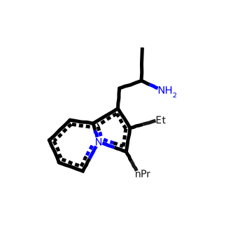 CCCc1c(CC)c(CC(C)N)c2ccccn12